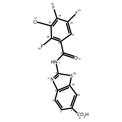 O=C(O)c1ccc2nc(NC(=O)c3cc(F)c(F)c(Cl)c3F)sc2c1